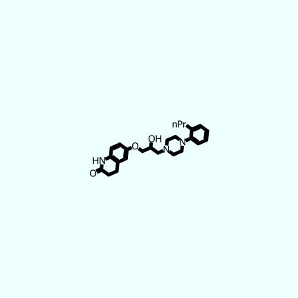 CCCc1ccccc1N1CCN(CC(O)COc2ccc3c(c2)CCC(=O)N3)CC1